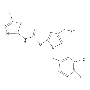 CC(C)Cc1cc(OC(=O)Nc2ncc(Cl)s2)n(Cc2ccc(F)c(Cl)c2)c1